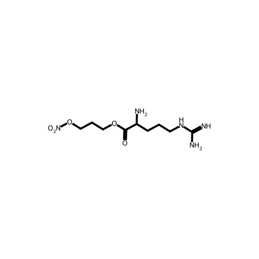 N=C(N)NCCCC(N)C(=O)OCCCO[N+](=O)[O-]